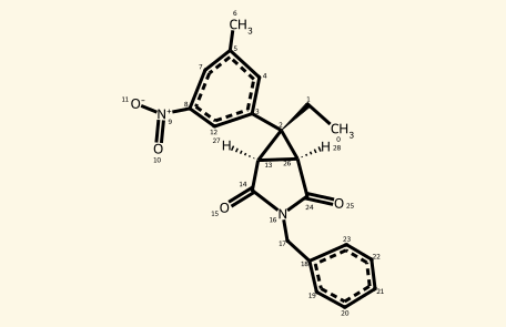 CC[C@]1(c2cc(C)cc([N+](=O)[O-])c2)[C@@H]2C(=O)N(Cc3ccccc3)C(=O)[C@@H]21